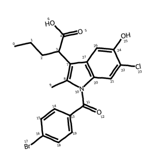 CCCC(C(=O)O)c1c(C)n(C(=O)c2ccc(Br)cc2)c2cc(Cl)c(O)cc12